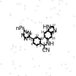 CCCn1nnc(-c2ccc(C(C#N)Nc3ccc4[nH]cnc4c3)cc2)n1